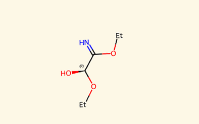 CCOC(=N)[C@H](O)OCC